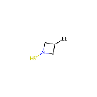 CCC1CN(S)C1